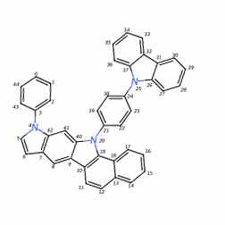 c1ccc(-n2ccc3cc4c5ccc6ccccc6c5n(-c5ccc(-n6c7ccccc7c7ccccc76)cc5)c4cc32)cc1